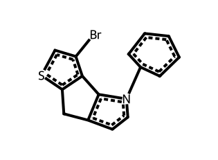 Brc1csc2c1-c1c(ccn1-c1ccccc1)C2